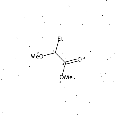 [CH2]CC(OC)C(=O)OC